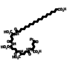 CC(C)C(=O)CC[C@H](NC(=O)CC[C@H](NC(=O)CC[C@H](NC(=O)CC[C@H](NC(=O)CCCCCCCCCCCCCCCCCCC(=O)O)C(=O)O)C(=O)O)C(=O)O)C(=O)O